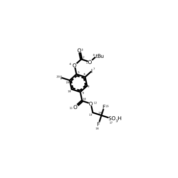 CC(C)(C)OC(=O)Oc1c(I)cc(C(=O)OCC(F)(F)S(=O)(=O)O)cc1I